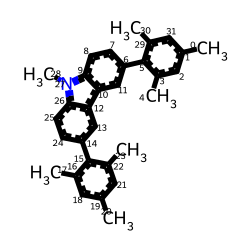 Cc1cc(C)c(-c2ccc3c(c2)c2cc(-c4c(C)cc(C)cc4C)ccc2n3C)c(C)c1